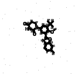 COc1c(-c2nc3ccc(C)cc3o2)cc(N2CCC(=O)NC2=O)cc1C(C)(C)C